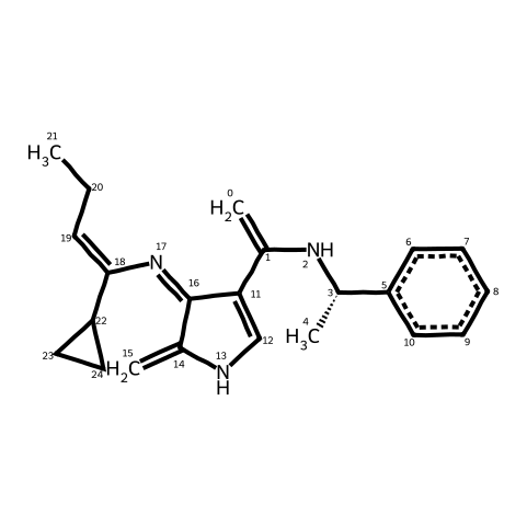 C=C(N[C@@H](C)c1ccccc1)C1=CNC(=C)/C1=N\C(=C/CC)C1CC1